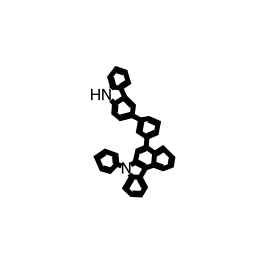 c1ccc(-n2c3ccccc3c3c4ccccc4c(-c4cccc(-c5ccc6[nH]c7ccccc7c6c5)c4)cc32)cc1